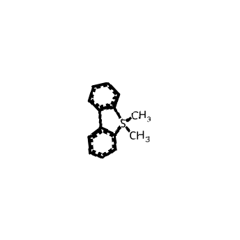 CS1(C)c2ccccc2-c2ccccc21